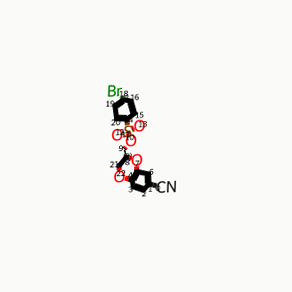 N#Cc1ccc2c(c1)O[C@@H](COS(=O)(=O)c1ccc(Br)cc1)CO2